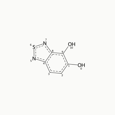 Oc1ccc2nsnc2c1O